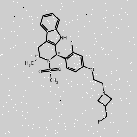 C[C@@H]1Cc2c([nH]c3ccccc23)[C@@H](c2ccc(OCCN3CC(CF)C3)cc2F)N1S(C)(=O)=O